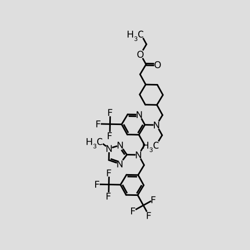 CCOC(=O)CC1CCC(CN(CC)c2ncc(C(F)(F)F)cc2CN(Cc2cc(C(F)(F)F)cc(C(F)(F)F)c2)c2ncn(C)n2)CC1